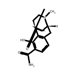 CN1CC[C@]23CC(=O)CCC2[C@H]1Cc1ccc(C(N)=O)c(O)c13